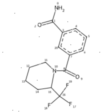 NC(=O)c1cccc(C(=O)N2CCCCC2C(F)(F)F)c1